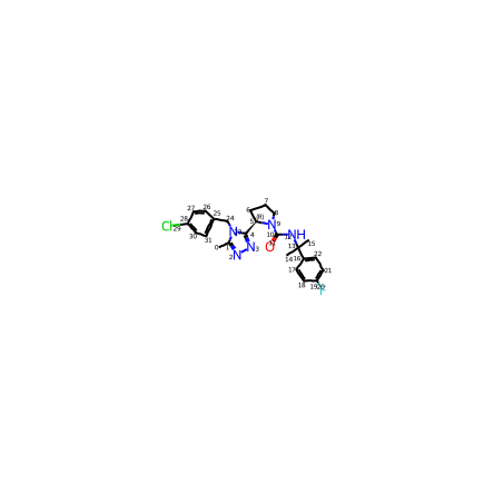 Cc1nnc([C@H]2CCCN2C(=O)NC(C)(C)c2ccc(F)cc2)n1Cc1ccc(Cl)cc1